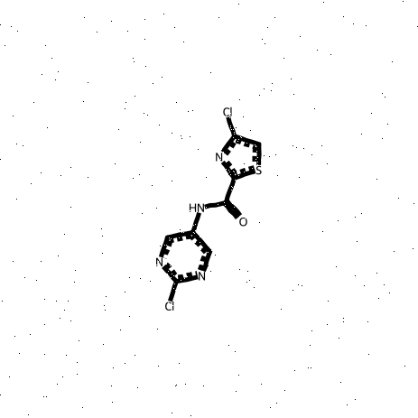 O=C(Nc1cnc(Cl)nc1)c1nc(Cl)cs1